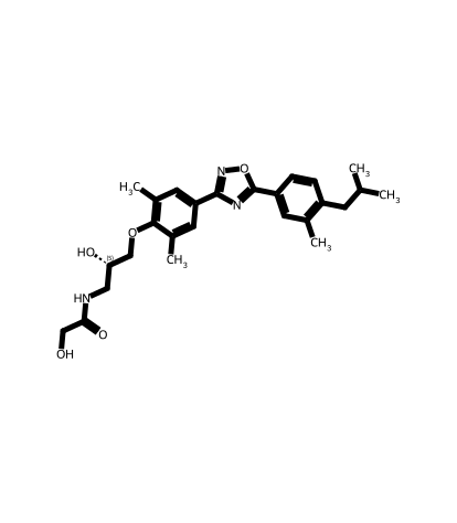 Cc1cc(-c2nc(-c3cc(C)c(OC[C@@H](O)CNC(=O)CO)c(C)c3)no2)ccc1CC(C)C